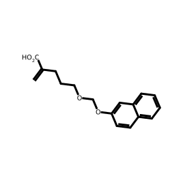 C=C(CCCOCOc1ccc2ccccc2c1)C(=O)O